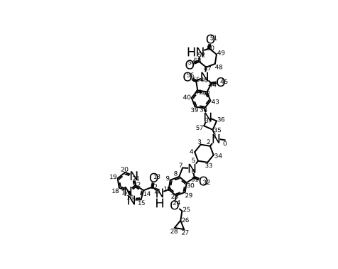 CN(C1CCC(N2Cc3cc(NC(=O)c4cnn5cccnc45)c(OCC4CC4)cc3C2=O)CC1)C1CN(c2ccc3c(c2)C(=O)N(C2CCC(=O)NC2=O)C3=O)C1